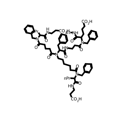 CCCC(C(=O)NCCC(=O)O)N(Cc1ccccc1)C(=O)CCCCCN(C(=O)CCCC(=O)N(Cc1ccccc1)C(CCC)C(=O)NCCC(=O)O)C(Cc1ccccc1)C(=O)NCCC(=O)N(Cc1ccccc1)C(CCCC(=O)O)C(=O)NCC